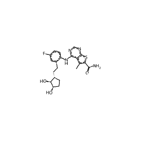 Cc1c(C(N)=O)sc2ncnc(Nc3ccc(F)cc3CC[C@@H]3CC[C@@H](O)[C@H]3O)c12